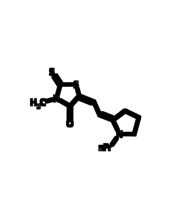 CCCN1CCC/C1=C\C=C1\SC(=S)N(C)C1=O